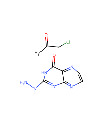 CC(=O)CCl.NNc1nc2nccnc2c(=O)[nH]1